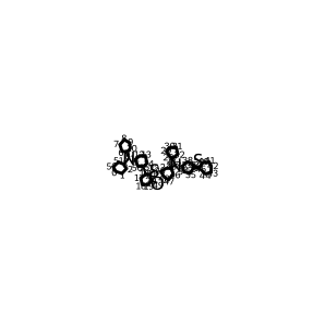 c1ccc(N(c2ccccc2)c2cccc(-c3cccc4c3Sc3cc(N(c5ccccc5)c5ccc6c(c5)sc5ccccc56)ccc3O4)c2)cc1